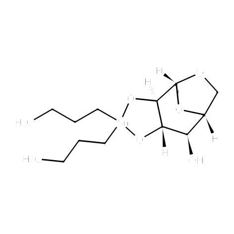 CCC[CH2][Sn]1([CH2]CCC)[O][C@H]2[C@@H]3OC[C@@H](O3)[C@@H](O)[C@@H]2[O]1